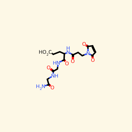 NC(=O)CNC(=O)CNC(=O)C(CCC(=O)O)NC(=O)CCN1C(=O)C=CC1=O